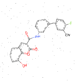 N#Cc1cc(-c2cccc(NC(=O)c3cc4cccc(O)c4oc3=O)c2)ccc1F